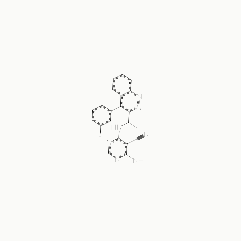 CC(Nc1ncnc(N)c1C#N)c1nnc2ccccc2c1-c1cccc(F)c1